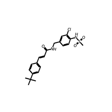 CC(C)(C)c1ccc(C=CC(=O)NCc2ccc(NS(C)(=O)=O)c(Cl)c2)cc1